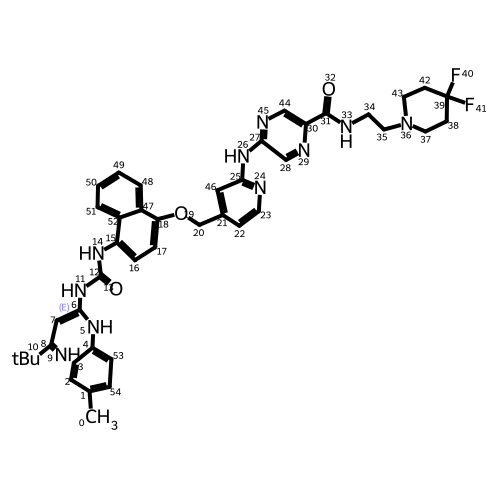 Cc1ccc(N/C(=C\C(=N)C(C)(C)C)NC(=O)Nc2ccc(OCc3ccnc(Nc4cnc(C(=O)NCCN5CCC(F)(F)CC5)cn4)c3)c3ccccc23)cc1